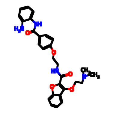 CN(C)CCOc1c(C(=O)NCCOc2ccc(C(=O)Nc3ccccc3N)cc2)oc2ccccc12